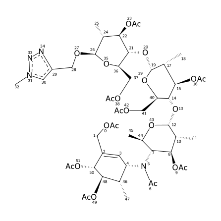 CC(=O)OCC1=C[C@H](N(C(C)=O)[C@H]2[C@H](OC(C)=O)[C@@H](C)[C@@H](O[C@H]3[C@H](OC(C)=O)[C@@H](C)[C@@H](O[C@H]4[C@H](OC(C)=O)[C@@H](C)[C@H](OCc5cn(C)nn5)O[C@@H]4COC(C)=O)O[C@@H]3COC(C)=O)O[C@@H]2C)[C@H](C)[C@@H](OC(C)=O)[C@@H]1OC(C)=O